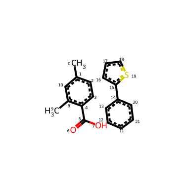 Cc1ccc(C(=O)O)c(C)c1.c1ccc(-c2cccs2)cc1